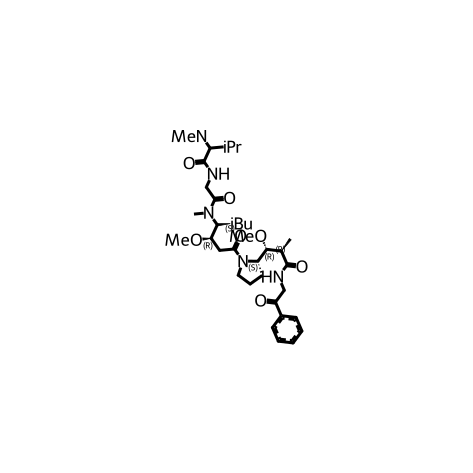 CC[C@H](C)C([C@@H](CC(=O)N1CCC[C@H]1[C@H](OC)[C@@H](C)C(=O)NCC(=O)c1ccccc1)OC)N(C)C(=O)CNC(=O)C(NC)C(C)C